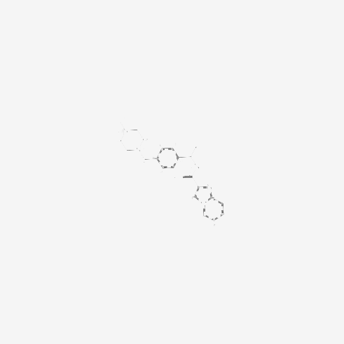 CC(NC(=O)c1cn2ccccc2n1)c1ccc(CN2CCN(C)CC2)cc1